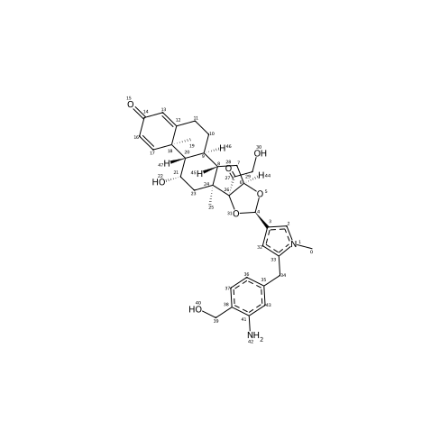 Cn1cc([C@@H]2O[C@@H]3C[C@H]4[C@@H]5CCC6=CC(=O)C=C[C@]6(C)[C@H]5[C@@H](O)C[C@]4(C)[C@]3(C(=O)CO)O2)cc1Cc1ccc(CO)c(N)c1